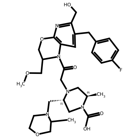 COCC1COc2nc(CO)c(Cc3ccc(F)cc3)cc2N1C(=O)CN1C[C@@H](C)N(C(=O)O)C[C@@H]1CN1CCOCC1C